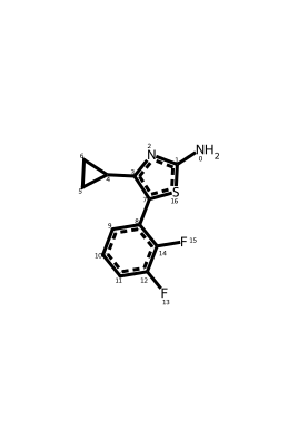 Nc1nc(C2CC2)c(-c2cccc(F)c2F)s1